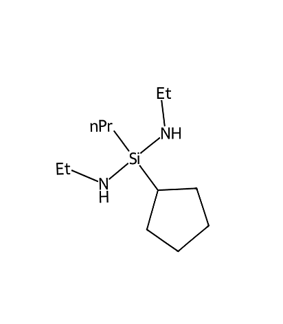 CCC[Si](NCC)(NCC)C1CCCC1